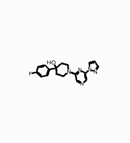 OC1(c2ccc(F)cc2)CCN(c2cncc(-n3cccn3)n2)CC1